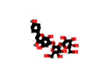 O=c1cc(-c2ccc(O)cc2)oc2c(O)c(O[C@@H]3O[C@H](CO)[C@@H](O)[C@H](O)C3O[C@@H]3O[C@H](CO)[C@@H](O)[C@@H](O)[C@H]3O)cc(O)c12